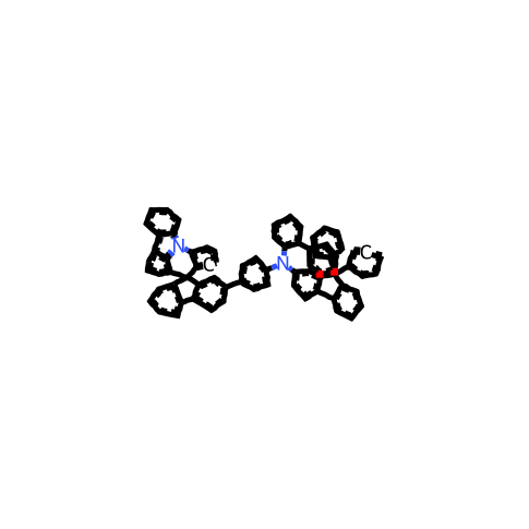 c1ccc(-c2ccccc2N(c2ccc(-c3ccc4c(c3)C3(c5ccccc5-4)c4ccccc4-n4c5ccccc5c5cccc3c54)cc2)c2ccc3c(c2)C(c2ccccc2)(c2ccccc2)c2ccccc2-3)cc1